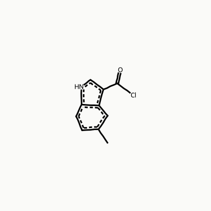 Cc1ccc2[nH]cc(C(=O)Cl)c2c1